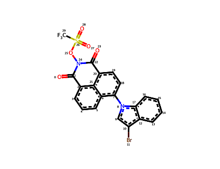 O=C1c2cccc3c(-n4cc(Br)c5ccccc54)ccc(c23)C(=O)N1OS(=O)(=O)C(F)(F)F